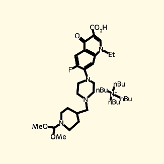 CCCC[N+](CCCC)(CCCC)CCCC.CCn1cc(C(=O)O)c(=O)c2cc(F)c(N3CCN(CC4CCN(C(OC)OC)CC4)CC3)cc21